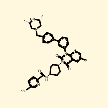 CCCCc1ccc(C(=O)N[C@H]2CC[C@@H](n3c(=O)c4cc(F)cnc4n(-c4cccc(-c5ccc(CN6C[C@@H](C)N[C@@H](C)C6)cc5)c4)c3=O)CC2)nc1